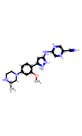 COc1cc(N2CCN[C@H](C)C2)ccc1-c1cc(Nc2cnc(C#N)cn2)n[nH]1